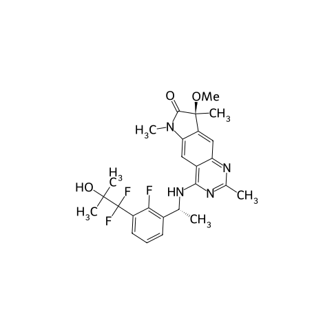 CO[C@]1(C)C(=O)N(C)c2cc3c(N[C@H](C)c4cccc(C(F)(F)C(C)(C)O)c4F)nc(C)nc3cc21